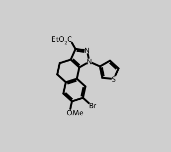 CCOC(=O)c1nn(-c2ccsc2)c2c1CCc1cc(OC)c(Br)cc1-2